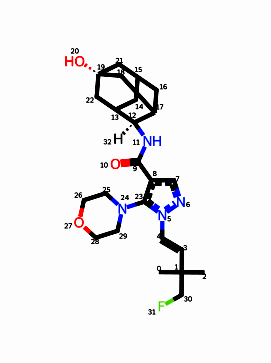 CC(C)(/C=C/n1ncc(C(=O)N[C@H]2C3CC4CC2C[C@](O)(C4)C3)c1N1CCOCC1)CF